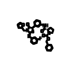 O=C(Nc1cccc(C2S/C(=N\c3cccc(F)c3)N(Cc3ccco3)C2=O)c1)[C@@H]1CCCN1C(=O)OCc1ccccc1